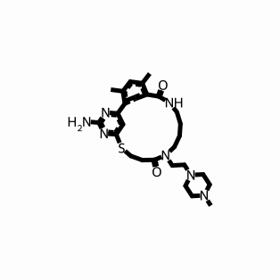 Cc1cc(C)c2cc1C(=O)NCCCCN(CCN1CCN(C)CC1)C(=O)CCSc1cc-2nc(N)n1